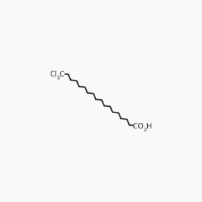 O=C(O)CCCCCCCCCCCCCCCCC(Cl)(Cl)Cl